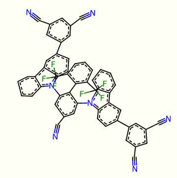 N#Cc1cc(C#N)cc(-c2ccc3c(c2)c2ccccc2n3-c2cc(C#N)cc(-n3c4ccccc4c4cc(-c5cc(C#N)cc(C#N)c5)ccc43)c2-c2c(C(F)(F)F)cccc2C(F)(F)F)c1